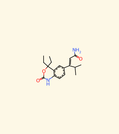 CCC1(CC)OC(=O)Nc2ccc(C(=CC(N)=O)C(C)C)cc21